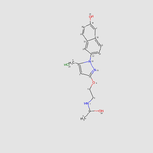 Cc1cc(OCCNC(C)O)nn1-c1ccc2cc(O)ccc2c1.Cl